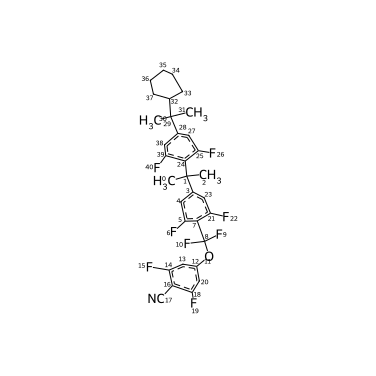 CC(C)(c1cc(F)c(C(F)(F)Oc2cc(F)c(C#N)c(F)c2)c(F)c1)c1c(F)cc(C(C)(C)C2CCCCC2)cc1F